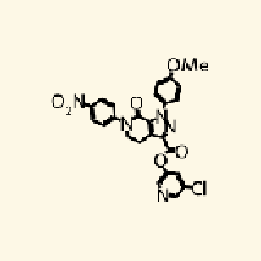 COc1ccc(-n2nc(C(=O)Oc3cncc(Cl)c3)c3c2C(=O)N(c2ccc([N+](=O)[O-])cc2)CC3)cc1